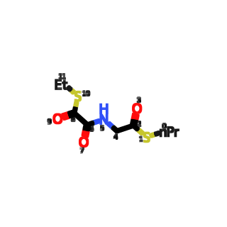 CCCSC(=O)CNC(=O)C(=O)SCC